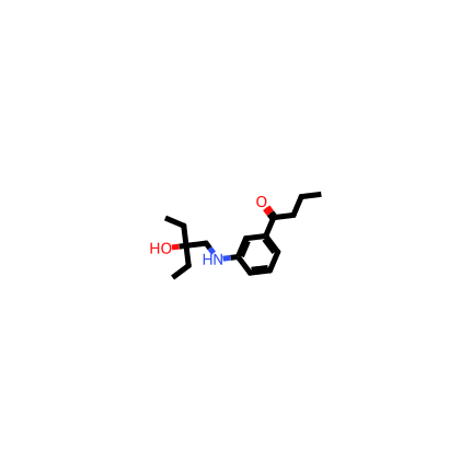 CCCC(=O)c1cccc(NCC(O)(CC)CC)c1